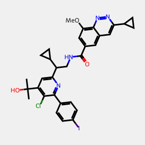 COc1cc(C(=O)NCC(c2cc(C(C)(C)O)c(Cl)c(-c3ccc(I)cc3)n2)C2CC2)cc2cc(C3CC3)nnc12